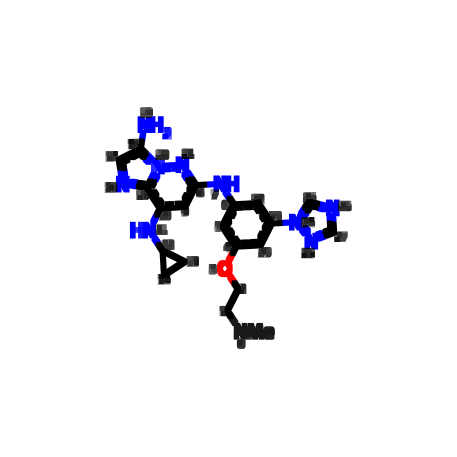 CNCCOc1cc(Nc2cc(NC3CC3)c3ncc(N)n3n2)cc(-n2cncn2)c1